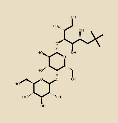 CC(C)(C)C[C@H](O)[C@@H](O)[C@@H](O[C@@H]1O[C@H](CO)[C@H](OC2O[C@H](CO)[C@@H](O)[C@H](O)[C@H]2O)[C@H](O)[C@H]1O)[C@H](O)CO